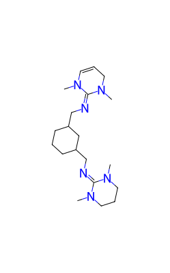 CN1C=CCN(C)C1=NCC1CCCC(CN=C2N(C)CCCN2C)C1